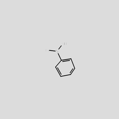 SN(S)c1ccccc1